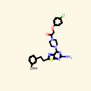 COc1cccc(CCc2nc3c(N4CCN(C(=O)COc5ccc(Cl)cc5)CC4)nc(N)nc3s2)c1